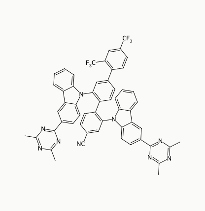 Cc1nc(C)nc(-c2ccc3c(c2)c2ccccc2n3-c2cc(C#N)ccc2-c2ccc(-c3ccc(C(F)(F)F)cc3C(F)(F)F)cc2-n2c3ccccc3c3cc(-c4nc(C)nc(C)n4)ccc32)n1